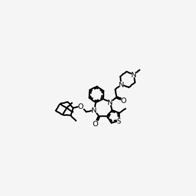 Cc1scc2c1N(C(=O)CN1CCN(C)CC1)c1ccccc1N(COC1CC3CC(C1C)C3(C)C)C2=O